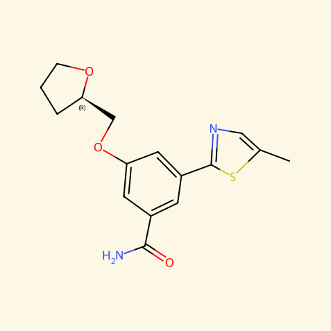 Cc1cnc(-c2cc(OC[C@H]3CCCO3)cc(C(N)=O)c2)s1